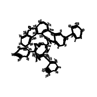 c1ccc(-c2ccc3c(c2)c2ccc4sc5ccccc5c4c2n3-c2nc(-c3ccccc3)nc(-c3ccccc3)n2)cc1